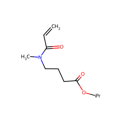 C=CC(=O)N(C)CCCC(=O)OC(C)C